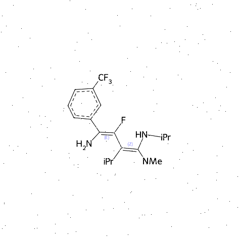 CN/C(NC(C)C)=C(/C(F)=C(\N)c1cccc(C(F)(F)F)c1)C(C)C